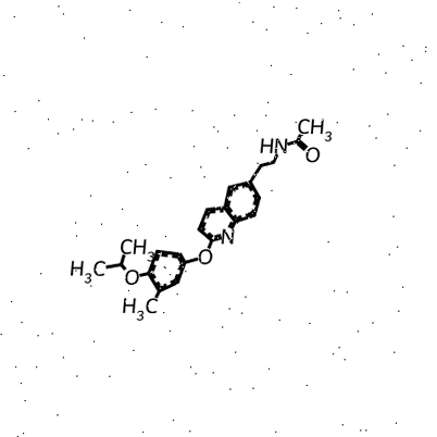 CC(=O)NCCc1ccc2nc(Oc3ccc(OC(C)C)c(C)c3)ccc2c1